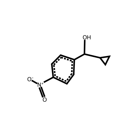 O=[N+]([O-])c1ccc(C(O)C2CC2)cc1